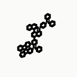 c1ccc(N(c2ccccc2)c2ccc(N3c4ccc5ccccc5c4-c4ccc(-c5ccc(N(c6ccccc6)c6ccc7c(c6)C6(c8ccccc8-c8ccccc86)c6ccccc6-7)cc5)c5cccc3c45)cc2)cc1